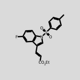 CCOC(=O)/C=C/c1cn(S(=O)(=O)c2ccc(C)cc2)c2ccc(F)cc12